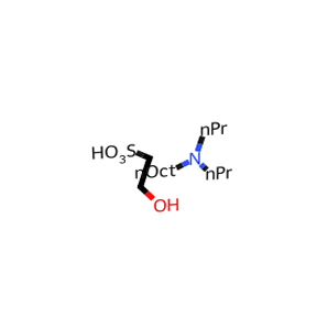 CCCCCCCCN(CCC)CCC.O=S(=O)(O)CCO